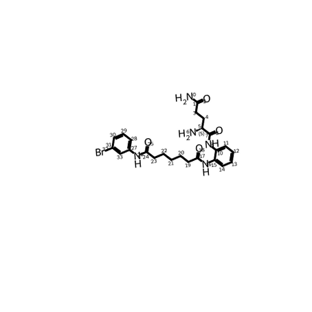 NC(=O)CC[C@H](N)C(=O)Nc1ccccc1NC(=O)CCCCCC(=O)Nc1cccc(Br)c1